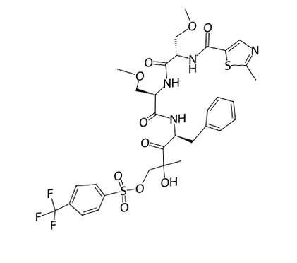 COC[C@H](NC(=O)c1cnc(C)s1)C(=O)N[C@H](COC)C(=O)N[C@@H](Cc1ccccc1)C(=O)C(C)(O)COS(=O)(=O)c1ccc(C(F)(F)F)cc1